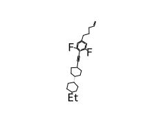 C=CCCCc1cc(F)c(C#CC2CCC([C@H]3CC[C@H](CC)CC3)CC2)c(F)c1